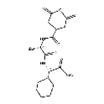 C=C1CC(C(=O)N[C@H](C(=O)N[C@H](C(=O)NC)C2CCCCC2)C(C)(C)C)CC(=O)O1